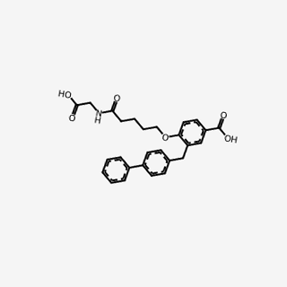 O=C(O)CNC(=O)CCCCOc1ccc(C(=O)O)cc1Cc1ccc(-c2ccccc2)cc1